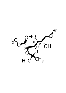 COC(=O)[C@H]1OC(C)(C)O[C@H]1[C@H](O)[C@@H](O)COBr